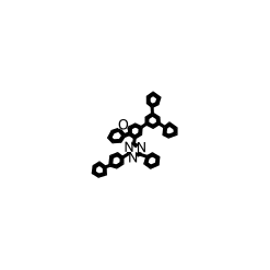 c1ccc(-c2ccc(-c3nc(-c4ccccc4)nc(-c4cc(-c5cc(-c6ccccc6)cc(-c6ccccc6)c5)cc5oc6ccccc6c45)n3)cc2)cc1